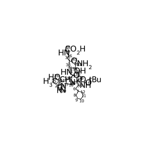 CC(C)(C)OC(=O)NC(CC1CCCCC1)C(=O)N1C[C@@H](n2nncc2C(C)(C)O)C[C@H]1C(=O)NC(CCCCNC(=O)O)C(O)C(N)=O